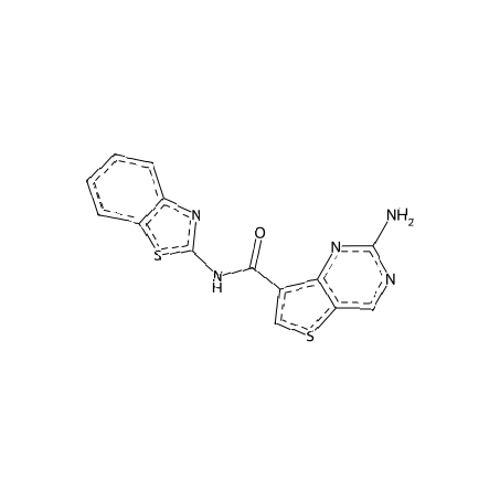 Nc1ncc2scc(C(=O)Nc3nc4ccccc4s3)c2n1